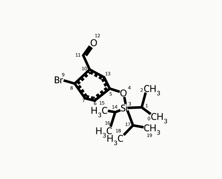 CC(C)[Si](Oc1ccc(Br)c(C=O)c1)(C(C)C)C(C)C